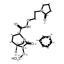 O=C(NOCCN1CCCC1=O)[C@@H]1CC[C@@H]2CN1C(=O)N2OS(=O)(=O)O.c1ccncc1